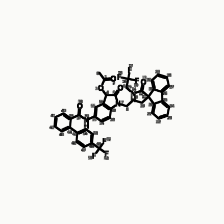 CC(=O)OC1C(=O)N(CCCC2(C(=O)NCC(F)(F)F)c3ccccc3-c3ccccc32)c2ccc(NC(=O)c3ccccc3-c3ccc(C(F)(F)F)cc3)cc21